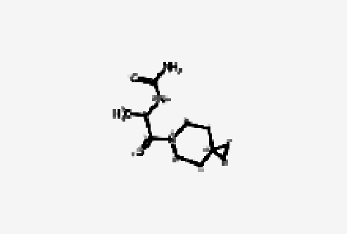 CC(NC(N)=O)C(=O)N1CCC2(CC1)CC2